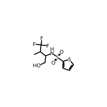 CC(C(CO)NS(=O)(=O)c1cccs1)C(F)(F)F